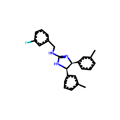 Cc1cccc([C@H]2NC(NCc3cccc(F)c3)=N[C@H]2c2cccc(C)c2)c1